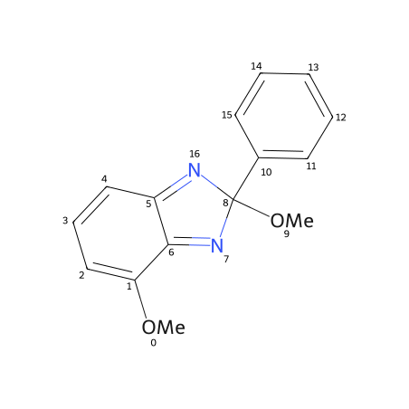 COc1cccc2c1=NC(OC)(c1ccccc1)N=2